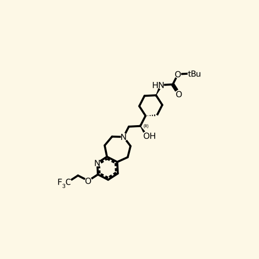 CC(C)(C)OC(=O)N[C@H]1CC[C@H]([C@@H](O)CN2CCc3ccc(OCC(F)(F)F)nc3CC2)CC1